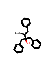 CNC(Cc1ccccc1)C(O)(Cc1ccccc1)Cc1ccccc1